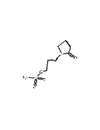 O=C1CCCN1CCCOS(=O)(=O)C(F)(F)F